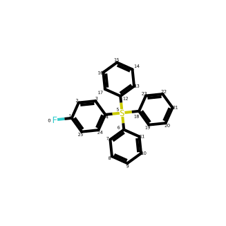 Fc1ccc(S(c2ccccc2)(c2ccccc2)c2ccccc2)cc1